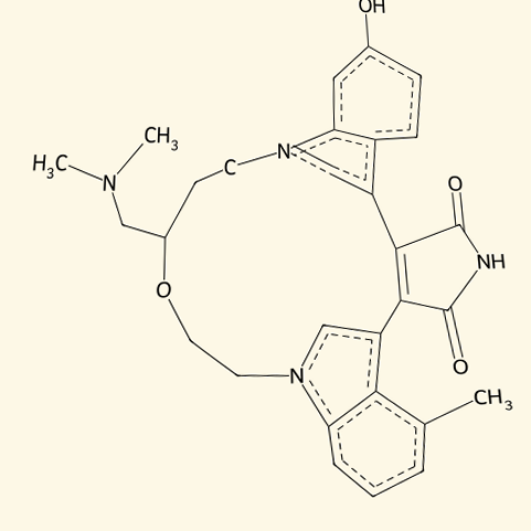 Cc1cccc2c1c1cn2CCOC(CN(C)C)CCn2cc(c3ccc(O)cc32)C2=C1C(=O)NC2=O